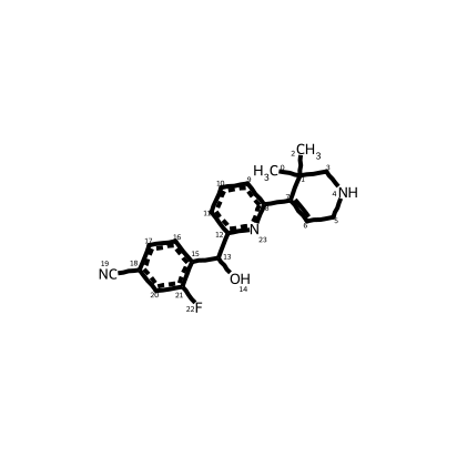 CC1(C)CNCC=C1c1cccc(C(O)c2ccc(C#N)cc2F)n1